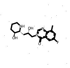 Cc1cc(F)cc2c(=O)n(C[C@@H](O)C[C@H]3NCCC[C@@H]3O)cnc12